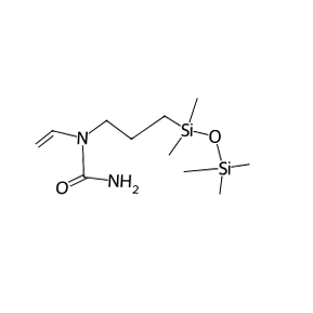 C=CN(CCC[Si](C)(C)O[Si](C)(C)C)C(N)=O